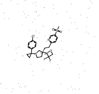 CS(=O)(=O)c1ccc(CC[C@@]2([C@H]3OCC3(F)F)CCN(C3(c4ccc(Cl)cc4)CC3)C2)nc1